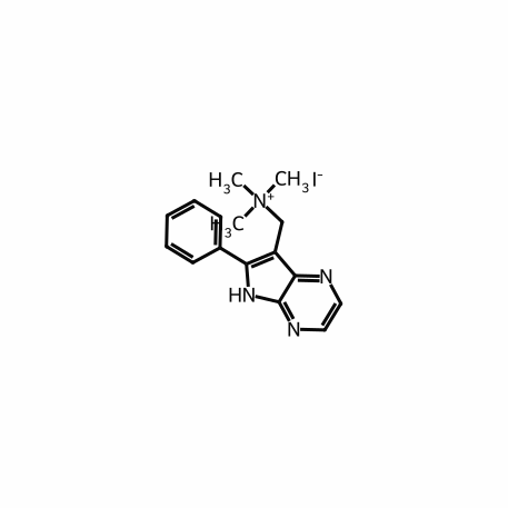 C[N+](C)(C)Cc1c(-c2ccccc2)[nH]c2nccnc12.[I-]